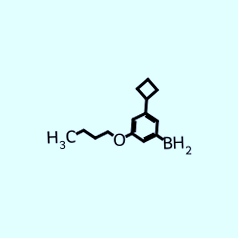 Bc1cc(OCCCC)cc(C2CCC2)c1